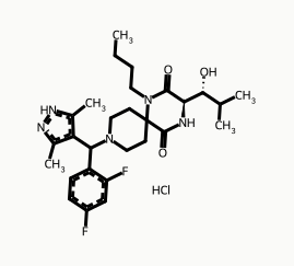 CCCCN1C(=O)[C@@H]([C@H](O)C(C)C)NC(=O)C12CCN(C(c1ccc(F)cc1F)c1c(C)n[nH]c1C)CC2.Cl